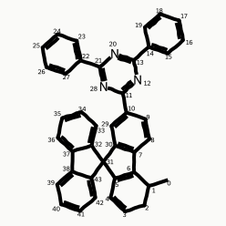 CC1CC=CC2=C1c1ccc(-c3nc(-c4ccccc4)nc(-c4ccccc4)n3)cc1C21c2ccccc2-c2ccccc21